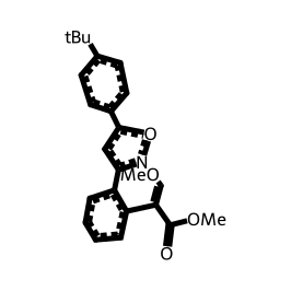 CO/C=C(/C(=O)OC)c1ccccc1-c1cc(-c2ccc(C(C)(C)C)cc2)on1